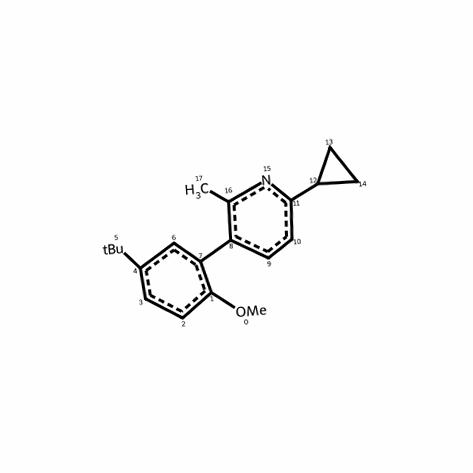 COc1ccc(C(C)(C)C)cc1-c1ccc(C2CC2)nc1C